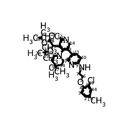 Cc1ccc(OCCNc2ccc(-c3cnc(C)c([C@H](OC(C)(C)C)C(=O)OC(C)C)c3N3CCC(C)(C)CC3)cn2)c(Cl)c1